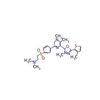 CC1=C(C2OC(c3sccc3C)=NN2C)N=C(c2ccc(S(=O)(=O)CCN(C)C)cc2)CN1C